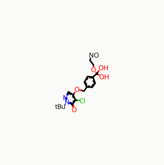 CC(C)(C)n1ncc(OCc2ccc(C(O)(O)OCCN=O)cc2)c(Cl)c1=O